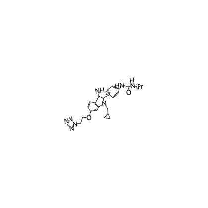 CC(C)NC(=O)Nc1ccc(C2C(N)c3ccc(OCCn4ncnn4)cc3N2CC2CC2)cc1